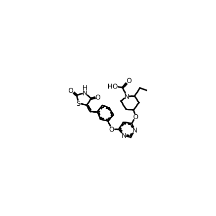 CCC1CC(Oc2cc(Oc3cccc(C=C4SC(=O)NC4=O)c3)ncn2)CCN1C(=O)O